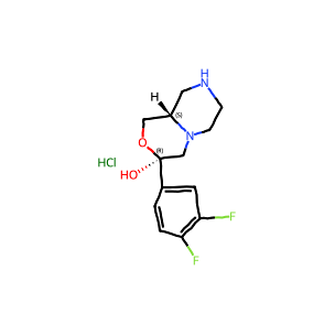 Cl.O[C@@]1(c2ccc(F)c(F)c2)CN2CCNC[C@H]2CO1